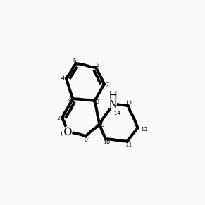 [C]1OC=C2C=CC=CC2C12CCCCN2